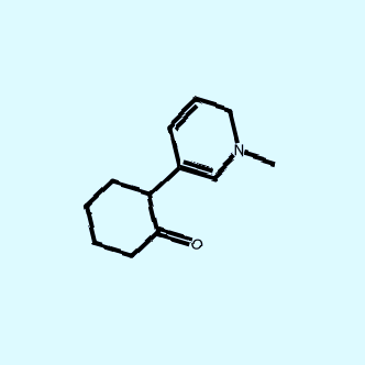 CN1C=C(C2CCCCC2=O)C=CC1